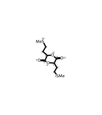 CSCCC1OC(=O)C(CCSC)OC1=O